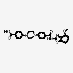 COc1cccc2sc(NC(=O)c3ccc(N4CCN(c5ccc(C(=O)O)cc5)CC4)cc3)nc12